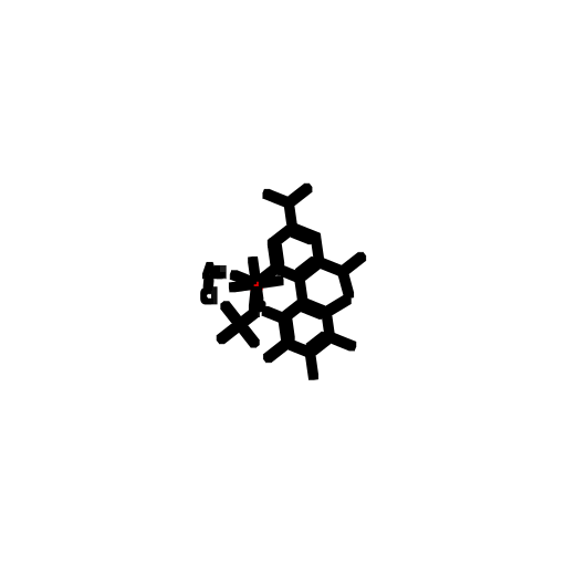 Cc1c(C)c(C)c(P(C(C)(C)C)C(C)(C)C)c(-c2c(C(C)C)cc(C(C)C)cc2C(C)C)c1C.[Cl][Au]